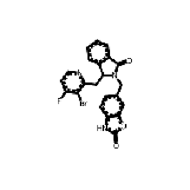 O=C1c2ccccc2C(Cc2nccc(F)c2Br)N1Cc1ccc2[nH]c(=O)oc2c1